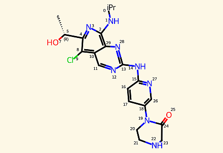 CC(C)Nc1nc([C@@H](C)O)c(Cl)c2cnc(Nc3ccc(N4CCNCC4=O)cn3)nc12